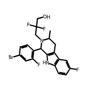 CC1Cc2c([nH]c3ccc(F)cc23)C(c2ccc(Br)cc2F)N1CC(F)(F)CO